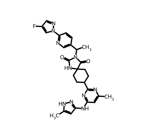 Cc1cc(Nc2cc(C)[nH]n2)nc(C2CCC3(CC2)NC(=O)N(C(C)c2ccc(-n4cc(F)cn4)nc2)C3=O)n1